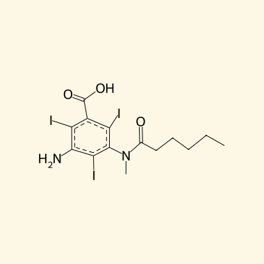 CCCCCC(=O)N(C)c1c(I)c(N)c(I)c(C(=O)O)c1I